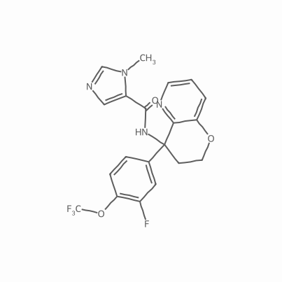 Cn1cncc1C(=O)NC1(c2ccc(OC(F)(F)F)c(F)c2)CCOc2cccnc21